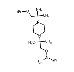 CCCN(C)OCC(C)(C)N1CCN(C(C)(N)COC(C)(C)C)CC1